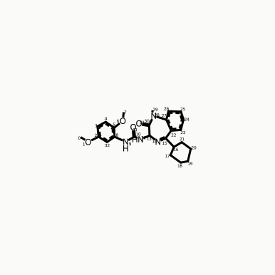 COc1ccc(OC)c(NC(=O)NC2N=C(C3CCCCC3)c3ccccc3N(C)C2=O)c1